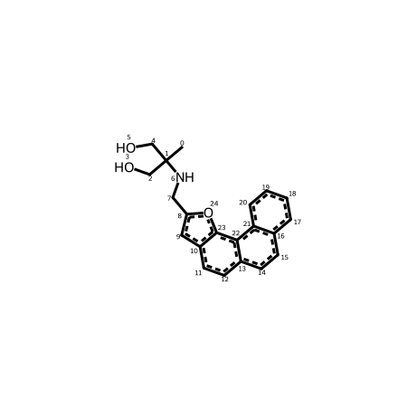 CC(CO)(CO)NCc1cc2ccc3ccc4ccccc4c3c2o1